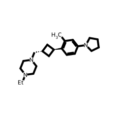 CCN1CCN(C[C@H]2C[C@H](c3ccc(N4CCCC4)cc3C)C2)CC1